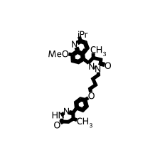 COc1ccc(C2=NN(CCCCOc3ccc(C4=NNC(=O)CC4C)cc3)C(=O)CC2C)c2ccc(C(C)C)nc12